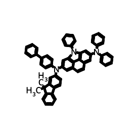 CC1(C)c2ccccc2-c2ccc(N(c3ccc(-c4ccccc4)cc3)c3cc4ccc5cc(N(c6ccccc6)c6ccccc6)cc6c5c4c(c3)n6-c3ccccc3)cc21